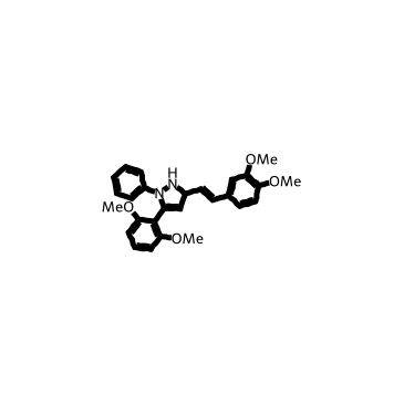 COc1ccc(C=CC2C=C(c3c(OC)cccc3OC)N(c3ccccc3)N2)cc1OC